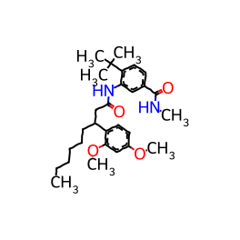 CCCCCCC(CC(=O)Nc1cc(C(=O)NC)ccc1C(C)(C)C)c1ccc(OC)cc1OC